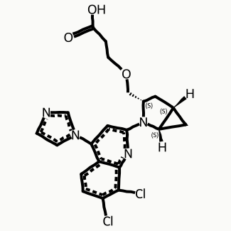 O=C(O)CCOC[C@@H]1C[C@@H]2C[C@@H]2N1c1cc(-n2ccnc2)c2ccc(Cl)c(Cl)c2n1